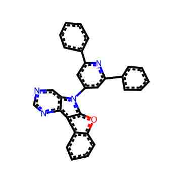 c1ccc(-c2cc(-n3c4cncnc4c4c5ccccc5oc43)cc(-c3ccccc3)n2)cc1